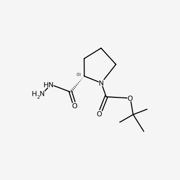 CC(C)(C)OC(=O)N1CCC[C@H]1C(=O)NN